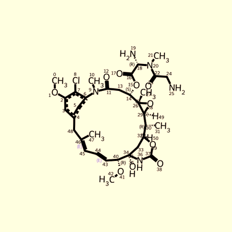 COc1cc2cc(c1Cl)N(C)C(=O)C[C@H](OC(=O)[C@H](N)N(C)C(=O)CN)[C@]1(C)O[C@H]1[C@H](C)[C@@H]1C[C@@](O)(NC(=O)O1)[C@H](OC)/C=C/C=C(\C)C2